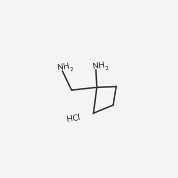 Cl.NCC1(N)CCC1